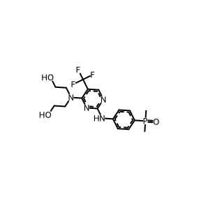 CP(C)(=O)c1ccc(Nc2ncc(C(F)(F)F)c(N(CCO)CCO)n2)cc1